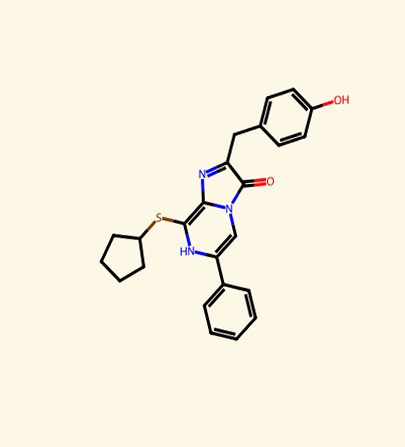 O=c1c(Cc2ccc(O)cc2)nc2c(SC3CCCC3)[nH]c(-c3ccccc3)cn1-2